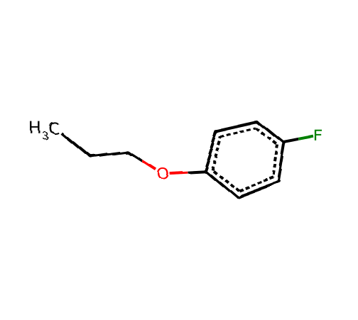 CCCOc1ccc(F)cc1